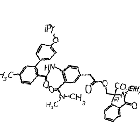 CCOC(=O)[C@]1(COC(=O)Cc2ccc(NC(=O)c3ccc(C)cc3-c3ccc(OC(C)C)cc3)c(C(=O)N(C)C)c2)c2ccccc2C(=O)N1C